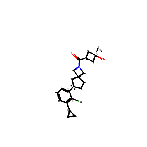 C[C@]1(O)C[C@@H](C(=O)N2CC3(CC[C@@H](c4cccc(C5CC5)c4F)C3)C2)C1